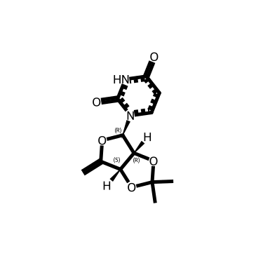 C=C1O[C@@H](n2ccc(=O)[nH]c2=O)[C@@H]2OC(C)(C)O[C@H]12